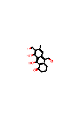 Cc1cc2c(C=O)c3c(c(O)c2c(O)c1C=O)C(=O)CCC3